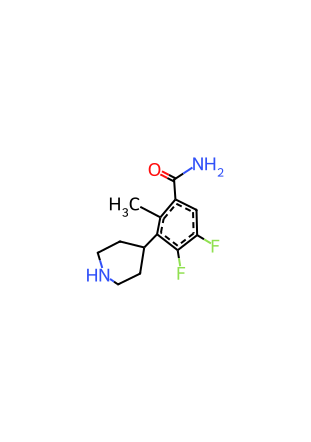 Cc1c(C(N)=O)cc(F)c(F)c1C1CCNCC1